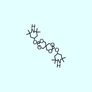 CC1(C)CC(OP2OCC3(CO2)COP(OC2CC(C)(C)NC(C)(C)C2)OC3)CC(C)(C)N1